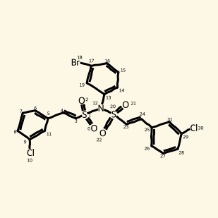 O=S(=O)(/C=C/c1cccc(Cl)c1)N(c1cccc(Br)c1)S(=O)(=O)/C=C/c1cccc(Cl)c1